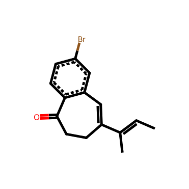 CC=C(C)C1=Cc2cc(Br)ccc2C(=O)CC1